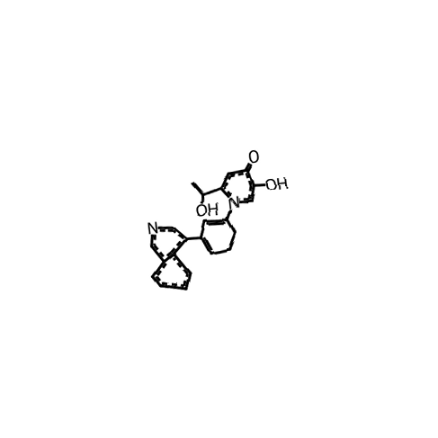 CC(O)c1cc(=O)c(O)cn1C1=CC(c2cncc3ccccc23)=CCC1